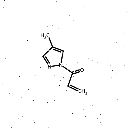 C=CC(=O)n1cc(C)cn1